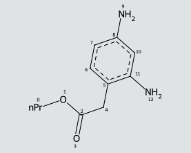 CCCOC(=O)Cc1ccc(N)cc1N